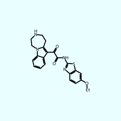 CCOc1ccc2nc(NC(=O)C(=O)c3c4n(c5ccccc35)CCNCC4)sc2c1